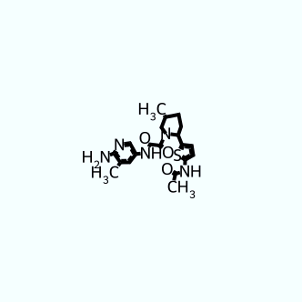 CC(=O)Nc1ccc(C2CCC(C)CN2C(=O)C(=O)Nc2cnc(N)c(C)c2)s1